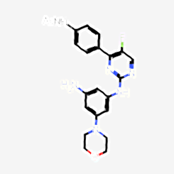 CC(=O)Nc1ccc(-c2nc(Nc3cc(N)cc(N4CCOCC4)c3)ncc2F)cc1